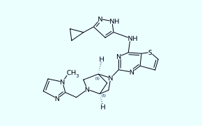 Cn1ccnc1CN1C[C@@H]2C[C@H]1CN2c1nc(Nc2cc(C3CC3)n[nH]2)c2sccc2n1